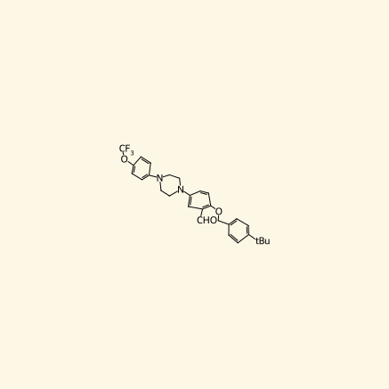 CC(C)(C)c1ccc(COc2ccc(N3CCN(c4ccc(OC(F)(F)F)cc4)CC3)cc2C=O)cc1